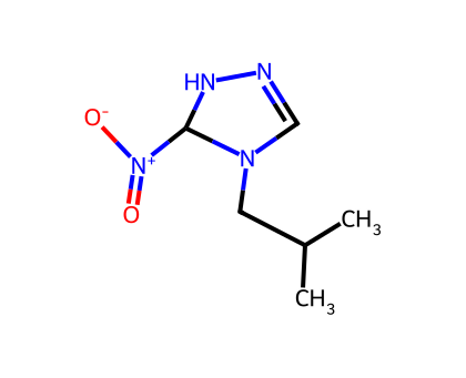 CC(C)CN1C=NNC1[N+](=O)[O-]